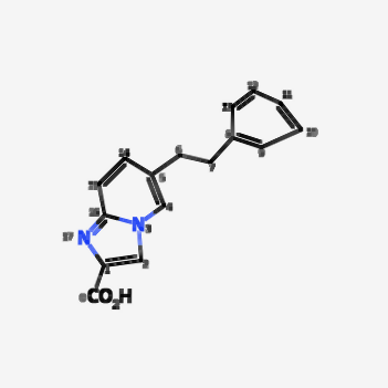 O=C(O)c1cn2cc(CCc3ccccc3)ccc2n1